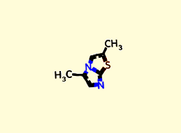 Cc1cn2c(C)cnc2s1